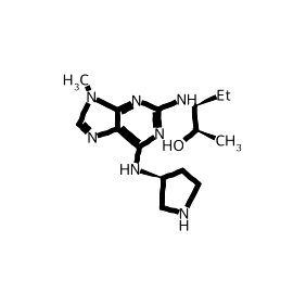 CC[C@H](Nc1nc(N[C@H]2CCNC2)c2ncn(C)c2n1)[C@@H](C)O